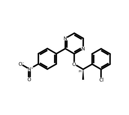 C[C@@H](Oc1nccnc1-c1ccc([N+](=O)[O-])cc1)c1ccccc1Cl